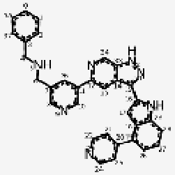 c1ccc(CNCc2cncc(-c3cc4c(-c5cc6c(-c7ccncc7)cccc6[nH]5)n[nH]c4cn3)c2)cc1